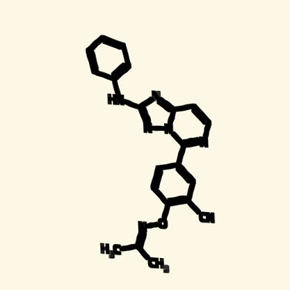 CC(C)=NOc1ccc(-c2nccc3nc(Nc4ccccc4)nn23)cc1C#N